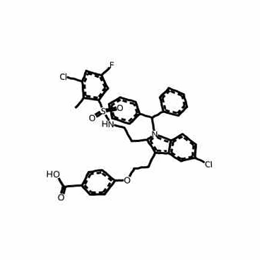 Cc1c(Cl)cc(F)cc1S(=O)(=O)NCCc1c(CCOc2ccc(C(=O)O)cc2)c2cc(Cl)ccc2n1C(c1ccccc1)c1ccccc1